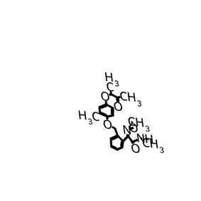 CNC(=O)C(=NOC)c1ccccc1COc1ccc(OC(C)C(C)=O)cc1C